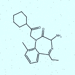 CCC1=NC(N)C(=O)N(CC(=O)C2CCCCC2)c2c(C)cccc21